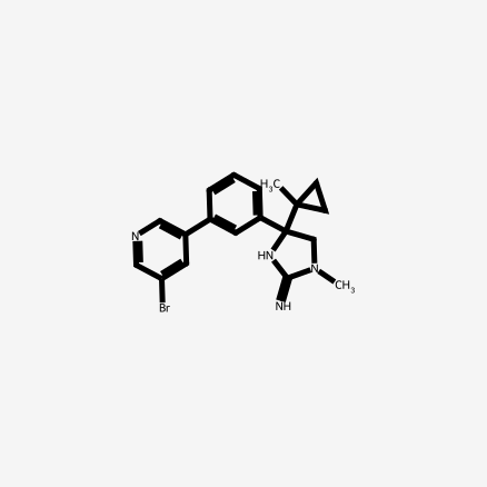 CN1CC(c2cccc(-c3cncc(Br)c3)c2)(C2(C)CC2)NC1=N